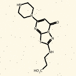 O=C(O)CCNc1nn2c(=O)cc(N3CCNCC3)nc2s1